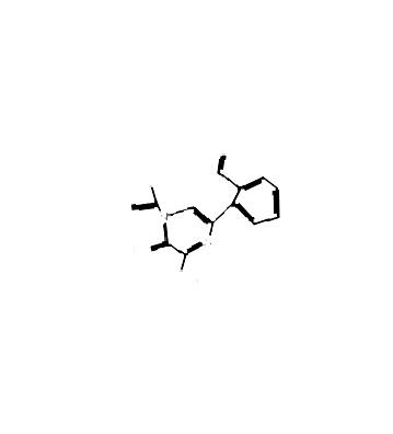 C=Cc1ccccc1C1=CN(C(=C)C)C(=C)C(C)=N1